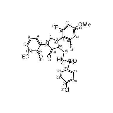 CCn1cccc(N2C[C@@H](c3c(F)cc(OC)cc3F)C(CNC(=O)c3ccc(Cl)cc3)C2=O)c1=O